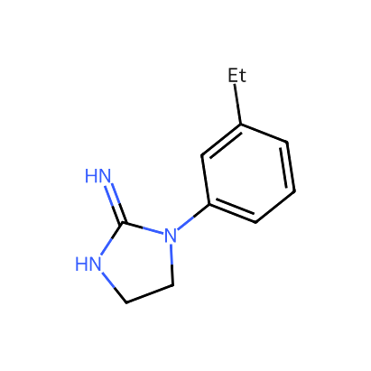 CCc1cccc(N2CCNC2=N)c1